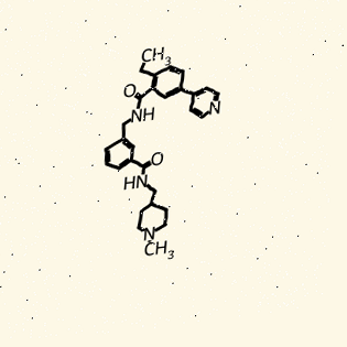 CCc1ccc(-c2ccncc2)cc1C(=O)NCc1cccc(C(=O)NCC2CCN(C)CC2)c1